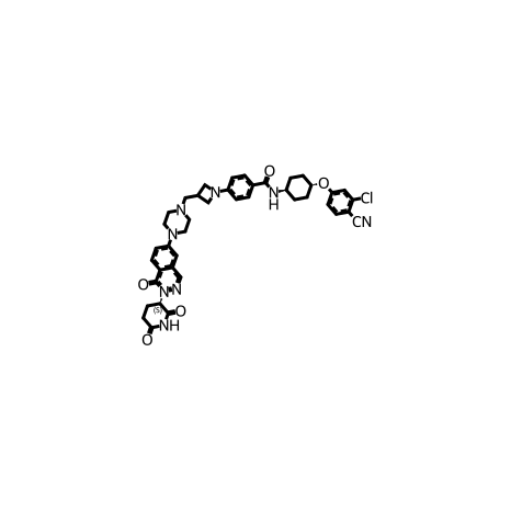 N#Cc1ccc(O[C@H]2CC[C@H](NC(=O)c3ccc(N4CC(CN5CCN(c6ccc7c(=O)n([C@H]8CCC(=O)NC8=O)ncc7c6)CC5)C4)cc3)CC2)cc1Cl